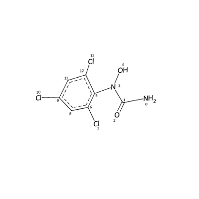 NC(=O)N(O)c1c(Cl)cc(Cl)cc1Cl